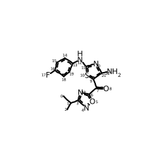 CC(C)c1noc(C(=O)c2sc(Nc3ccc(F)cc3)nc2N)n1